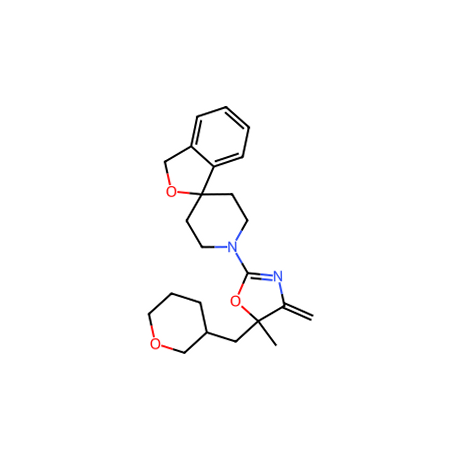 C=C1N=C(N2CCC3(CC2)OCc2ccccc23)OC1(C)CC1CCCOC1